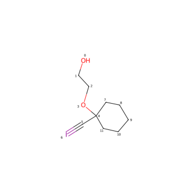 OCCOC1(C#I)CCCCC1